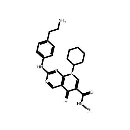 CCNC(=O)c1cn(C2CCCCC2)c2nc(Nc3ccc(CCN)cc3)ncc2c1=O